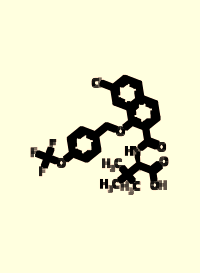 CC(C)(C)[C@@H](NC(=O)c1ccc2ccc(Cl)cc2c1OCc1ccc(OC(F)(F)F)cc1)C(=O)O